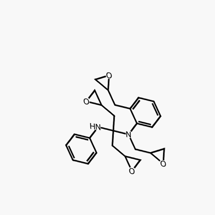 c1ccc(NC(CC2CO2)(CC2CO2)N(CC2CO2)c2ccccc2CC2CO2)cc1